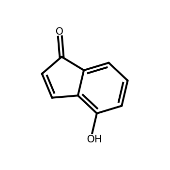 O=C1C=Cc2c(O)cccc21